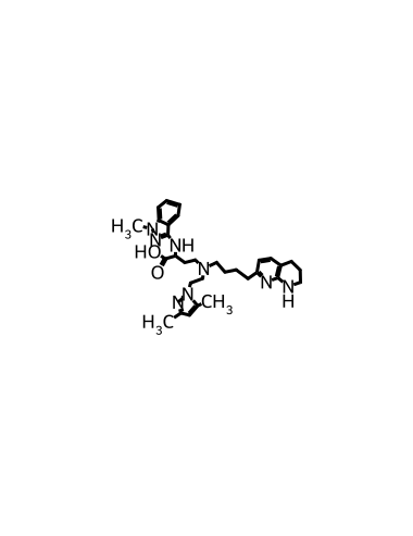 Cc1cc(C)n(CCN(CCCCc2ccc3c(n2)NCCC3)CCC(Nc2nn(C)c3ccccc23)C(=O)O)n1